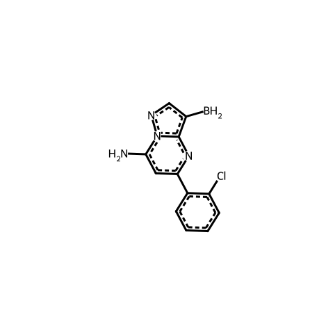 Bc1cnn2c(N)cc(-c3ccccc3Cl)nc12